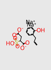 C=CCc1ccccc1O.O=C([O-])CC(C(=O)[O-])S(=O)(=O)O.[Na+].[Na+]